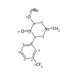 CCCCOC1CN(C)CC(c2cccc(C(F)(F)F)c2)C1=O